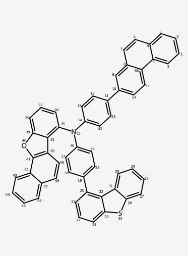 c1ccc2c(c1)ccc1cc(-c3ccc(N(c4ccc(-c5cccc6sc7ccccc7c56)cc4)c4cccc5oc6c7ccccc7ccc6c45)cc3)ccc12